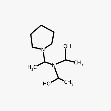 CC(O)N(C(C)O)C(C)N1CCCCC1